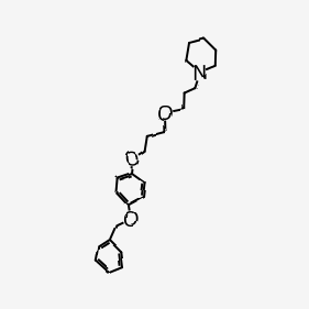 c1ccc(COc2ccc(OCCCOCCCN3CCCCC3)cc2)cc1